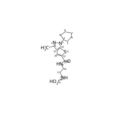 Cc1nn(C2CCCCC2)c2sc(C(=O)NCCNC(=O)O)cc12